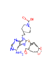 Nc1ncnc2c1nc(Sc1cc3c(cc1C=O)OCO3)n2CCC1CCN(C(=O)O)CC1